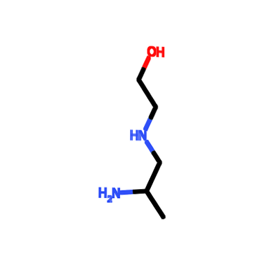 CC(N)CNCCO